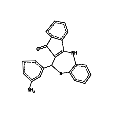 Nc1cccc(C2Sc3ccccc3NC3=C2C(=O)c2ccccc23)c1